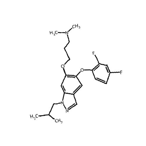 CC(C)Cn1ncc2cc(Oc3ccc(F)cc3F)c(OCCCN(C)C)cc21